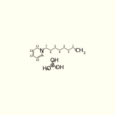 CCCCCCCCN1C=CC=CC1.OB(O)O